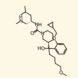 CNC[C@H](CC(C)C)NC(=O)N1CCC[C@@H](C(O)(CCCCOC)c2ccccc2OCC2CC2)C1